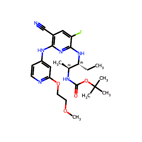 CC[C@@H](Nc1nc(Nc2ccnc(OCCOC)c2)c(C#N)cc1F)[C@H](C)NC(=O)OC(C)(C)C